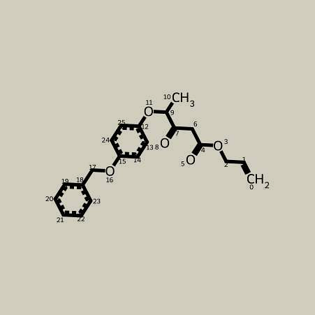 C=CCOC(=O)CC(=O)C(C)Oc1ccc(OCc2ccccc2)cc1